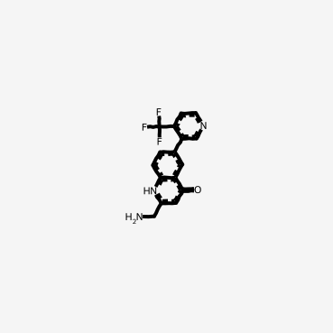 NCc1cc(=O)c2cc(-c3cnccc3C(F)(F)F)ccc2[nH]1